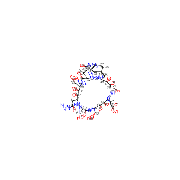 C[C@@H](O)[C@@H]1NN[C@@H](CC(N)=O)C(=O)C(=O)C(CO)NC(=O)C(CCC(N)=O)NN[C@@H](Cc2ccccc2)C(=O)C(=O)[C@H](CO)NN[C@@H](CCC(=O)O)C(=O)C(=O)[C@H](CO)NC1=O